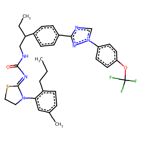 CCCc1ccc(C)cc1N1CCS/C1=N\C(=O)NCC(CC)c1ccc(-c2ncn(-c3ccc(OC(F)(F)F)cc3)n2)cc1